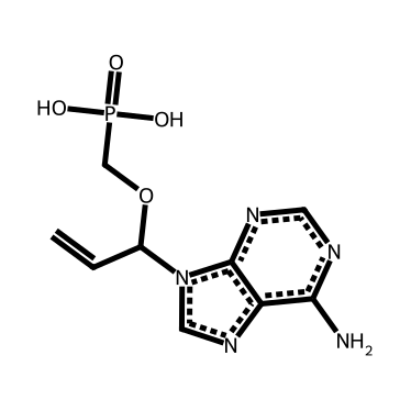 C=CC(OCP(=O)(O)O)n1cnc2c(N)ncnc21